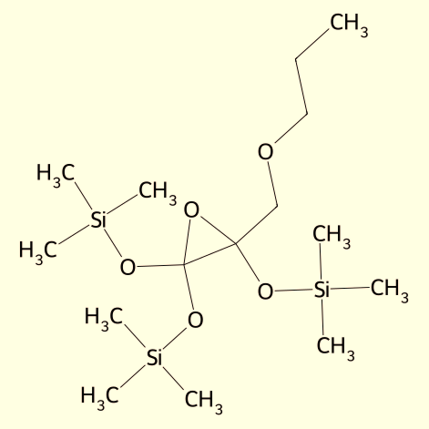 CCCOCC1(O[Si](C)(C)C)OC1(O[Si](C)(C)C)O[Si](C)(C)C